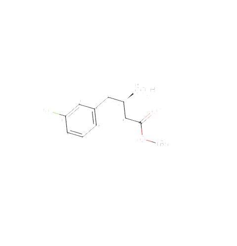 CC(C)(C)OC(=O)C[C@@H](Cc1cccc(F)c1)C(=O)O